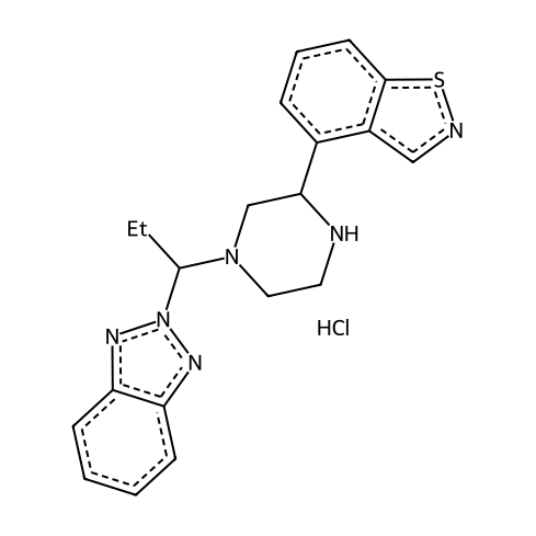 CCC(N1CCNC(c2cccc3sncc23)C1)n1nc2ccccc2n1.Cl